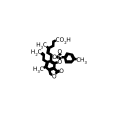 C=CCc1c(C)c2c(c(OS(=O)(=O)c3ccc(C)cc3)c1CC=C(C)CCC(=O)O)C(=O)OC2